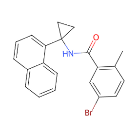 Cc1ccc(Br)cc1C(=O)NC1(c2cccc3ccccc23)CC1